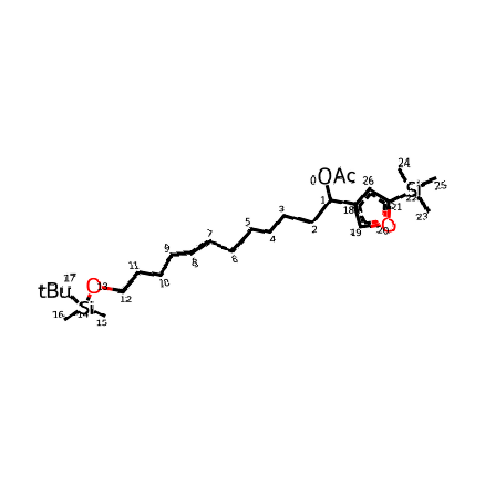 CC(=O)OC(CCCCCCCCCCCO[Si](C)(C)C(C)(C)C)c1coc([Si](C)(C)C)c1